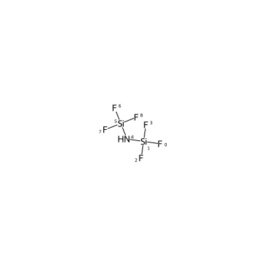 F[Si](F)(F)N[Si](F)(F)F